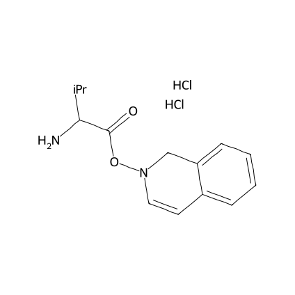 CC(C)C(N)C(=O)ON1C=Cc2ccccc2C1.Cl.Cl